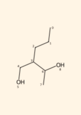 CCCC(CO)C(C)O